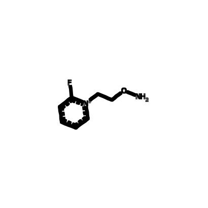 NOCC[n+]1ccccc1F